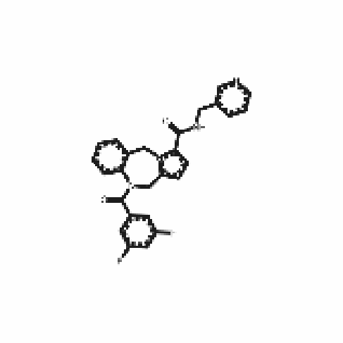 O=C(NCc1cccnc1)c1ccc2n1Cc1ccccc1N(C(=O)c1cc(F)cc(F)c1)C2